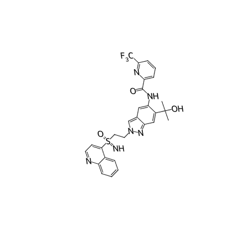 CC(C)(O)c1cc2nn(CCS(=N)(=O)c3ccnc4ccccc34)cc2cc1NC(=O)c1cccc(C(F)(F)F)n1